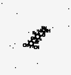 N#Cc1cc(Cl)cc(Oc2c(Br)ccc(Cn3cn[nH]c3=O)c2F)c1